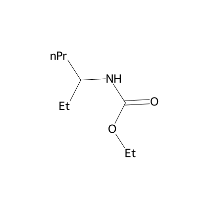 CCCC(CC)NC(=O)OCC